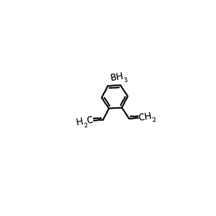 B.C=Cc1ccccc1C=C